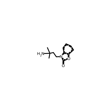 CC(C)(N)CCn1c(=O)oc2ccccc21